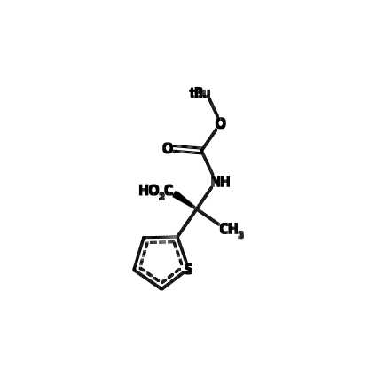 CC(C)(C)OC(=O)N[C@@](C)(C(=O)O)c1cccs1